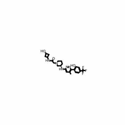 Cc1cc(N[C@@H]2CCCN(CC(=O)NC3CC(O)C3)C2)nnc1-c1ccc(C(F)(F)F)cc1O